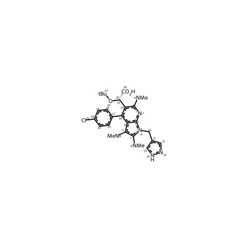 CNc1nc2c(c(NC)c(NC)n2Cc2cn[nH]c2)c(-c2ccc(Cl)cc2)c1[C@H](OC(C)(C)C)C(=O)O